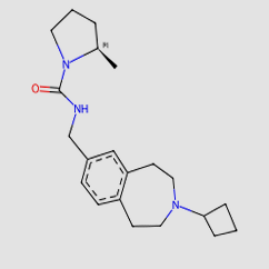 C[C@@H]1CCCN1C(=O)NCc1ccc2c(c1)CCN(C1CCC1)CC2